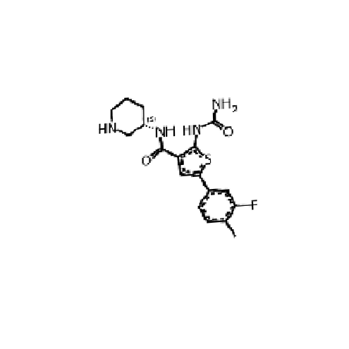 Cc1ccc(-c2cc(C(=O)N[C@H]3CCCNC3)c(NC(N)=O)s2)cc1F